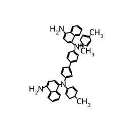 CC1=CC[C@@](C)(N(c2ccc(-c3ccc(N(C4=CCC(C)C=C4)c4ccc(N)c5ccccc45)cc3)cc2)c2ccc(N)c3ccccc23)C=C1